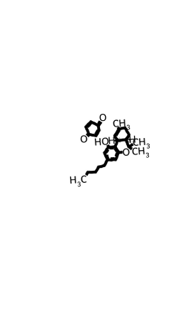 CCCCCc1cc(O)c2c(c1)OC(C)(C)[C@@H]1CCC(C)=C[C@@H]21.O=C1C=CC(=O)C=C1